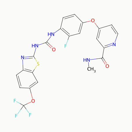 CNC(=O)c1cc(Oc2ccc(NC(=O)Nc3nc4ccc(OC(F)(F)F)cc4s3)c(F)c2)ccn1